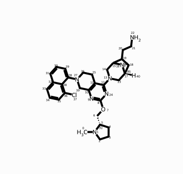 CN1CCC[C@H]1COc1nc2c(c(N3CC4N[C@H](CC4CCN)C3)n1)CCN(c1cccc3cccc(Cl)c13)C2